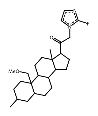 COCC12CCC(C)CC1CCC1C3CCC(C(=O)Cn4ccnc4F)C3(C)CCC12